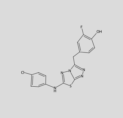 Oc1ccc(Cc2nnc3sc(Nc4ccc(Cl)cc4)nn23)cc1F